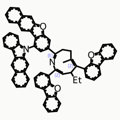 CCC1/C=C(c2cccc3c2oc2ccccc23)\N=C(\c2cc(-n3c4ccccc4c4cc5ccccc5cc43)c3c(c2)oc2cc4ccccc4cc23)CC/C(C)=C/1c1cccc2c1oc1ccccc12